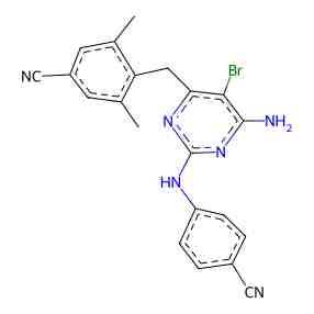 Cc1cc(C#N)cc(C)c1Cc1nc(Nc2ccc(C#N)cc2)nc(N)c1Br